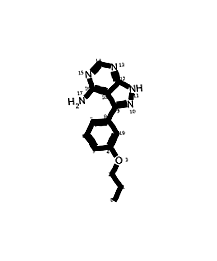 CCCOc1cccc(-c2n[nH]c3ncnc(N)c23)c1